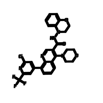 O=C(NN1CCOc2ccccc21)c1cnc2c(-c3cc(Cl)nc(C(F)(F)F)c3)cccc2c1N1CCOCC1